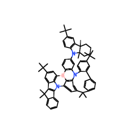 CC(C)(C)c1ccc2c(c1)-c1ccc(cc1)C(C)(C)c1cc3c4c(c1)-n1c5c(c6cc(C(C)(C)C)cc(c61)B4c1ccc(N4c6ccc(C(C)(C)C)cc6C6(C)CCCCC46C)cc1N23)C(C)(C)c1ccccc1-5